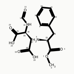 COC(=O)[C@@H](N)Cc1ccccc1.O=CN[C@@H](CC(=O)O)C(=O)O